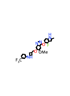 COc1cc2c(Oc3ccc4[nH]c(C)cc4c3F)ncnc2cc1OCC1CC(Nc2cccc(C(F)(F)F)c2)C1